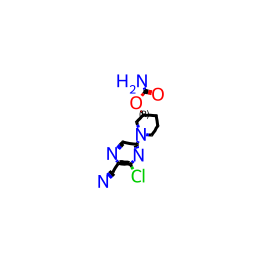 N#Cc1ncc(N2CCC[C@@H](OC(N)=O)C2)nc1Cl